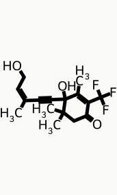 CC1=C(C(F)(F)F)C(=O)CC(C)(C)C1(O)C#C/C(C)=C\CO